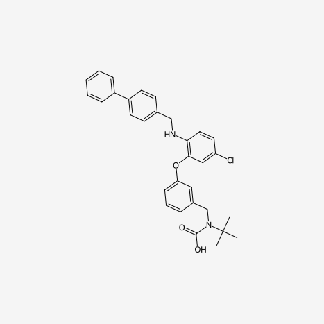 CC(C)(C)N(Cc1cccc(Oc2cc(Cl)ccc2NCc2ccc(-c3ccccc3)cc2)c1)C(=O)O